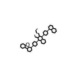 C\C=C/C=c1/c(-c2ccc(-c3cccc4ccccc34)cc2)c2ccccc2c(-c2ccc(-c3cccc4c3oc3ccccc34)cc2)/c1=C/C